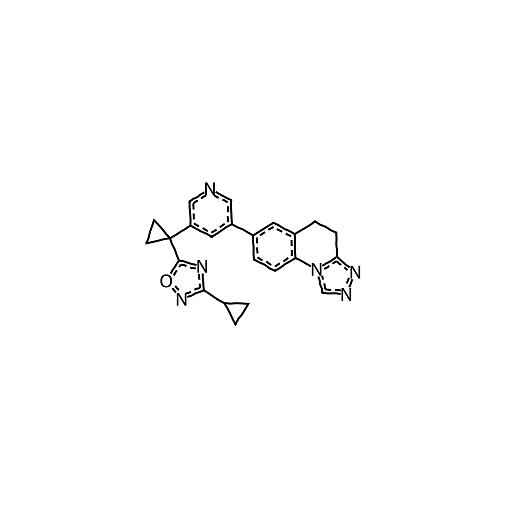 c1cc2c(cc1-c1cncc(C3(c4nc(C5CC5)no4)CC3)c1)CCc1nncn1-2